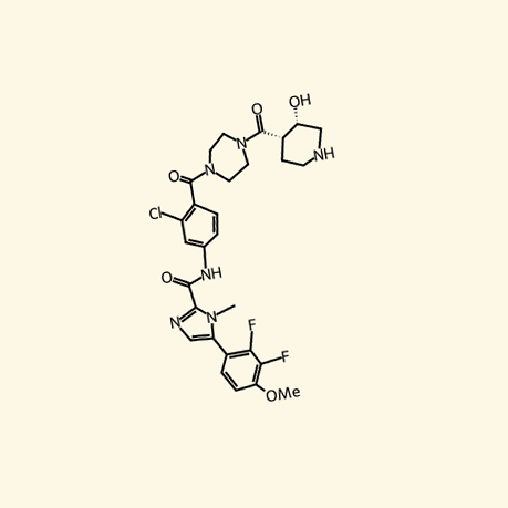 COc1ccc(-c2cnc(C(=O)Nc3ccc(C(=O)N4CCN(C(=O)[C@H]5CCNC[C@H]5O)CC4)c(Cl)c3)n2C)c(F)c1F